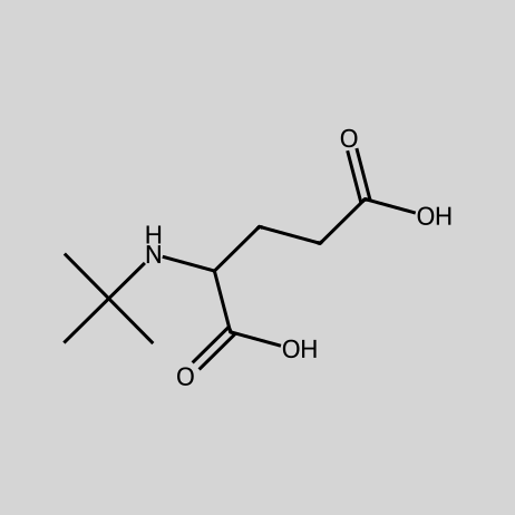 CC(C)(C)NC(CCC(=O)O)C(=O)O